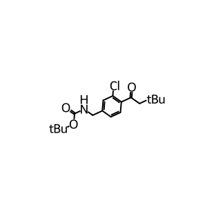 CC(C)(C)CC(=O)c1ccc(CNC(=O)OC(C)(C)C)cc1Cl